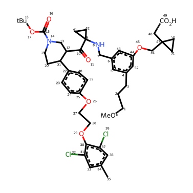 COCCCc1cc(CNC2(C(=O)C3CN(C(=O)OC(C)(C)C)CCC3c3ccc(OCCOc4c(Cl)cc(C)cc4Cl)cc3)CC2)cc(OCC2(CC(=O)O)CC2)c1